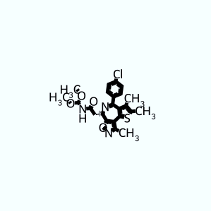 COC(NC(=O)C[C@@H]1N=C(c2ccc(Cl)cc2)c2c(sc(C)c2C)-c2c(C)noc21)OC